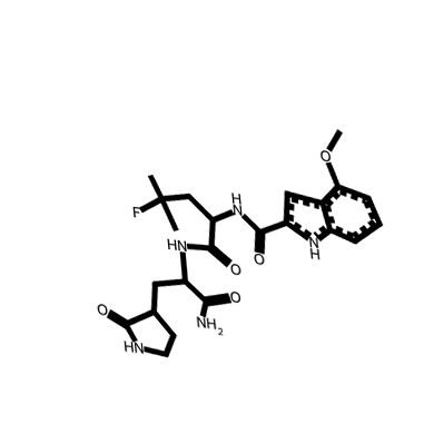 COc1cccc2[nH]c(C(=O)NC(CC(C)(C)F)C(=O)NC(CC3CCNC3=O)C(N)=O)cc12